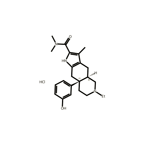 CCN1CC[C@]2(c3cccc(O)c3)Cc3[nH]c(C(=O)N(C)C)c(C)c3C[C@H]2C1.Cl